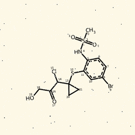 CS(=O)(=O)Nc1ccc(Br)cc1SC1(C(Cl)C(=O)CO)CC1